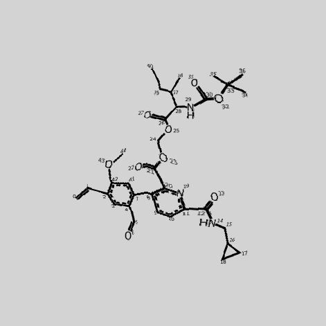 C=Cc1cc(C=O)c(-c2ccc(C(=O)NCC3CC3)nc2C(=O)OCOC(=O)C(NC(=O)OC(C)(C)C)C(C)CC)cc1OC